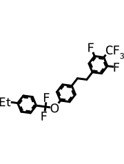 CCc1ccc(C(F)(F)Oc2ccc(CCc3cc(F)c(C(F)(F)F)c(F)c3)cc2)cc1